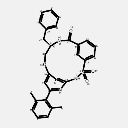 Cc1cccc(C)c1-c1cc2nc(n1)NS(=O)(=O)c1cccc(c1)C(=O)N[C@H](Cc1ccccc1)CO2